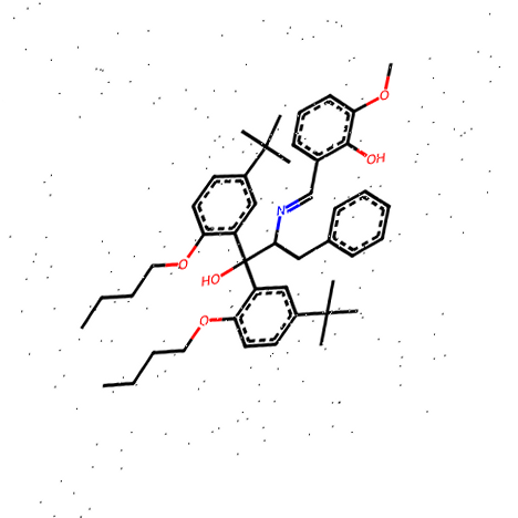 CCCCOc1ccc(C(C)(C)C)cc1C(O)(c1cc(C(C)(C)C)ccc1OCCCC)C(Cc1ccccc1)N=Cc1cccc(OC)c1O